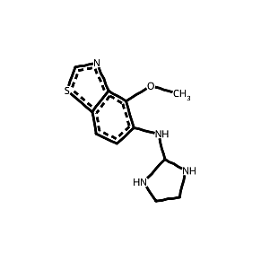 COc1c(NC2NCCN2)ccc2scnc12